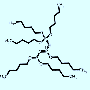 CCCCCOP(N=[PH](N=P(OCCCCC)(OCCCCC)OCCCCC)OCCCCC)OCCCCC